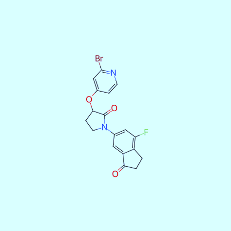 O=C1CCc2c(F)cc(N3CCC(Oc4ccnc(Br)c4)C3=O)cc21